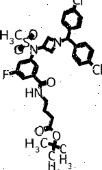 CC(C)(C)OC(=O)CCCNC(=O)c1cc(F)cc(N(C2CN(C(c3ccc(Cl)cc3)c3ccc(Cl)cc3)C2)S(C)(=O)=O)c1